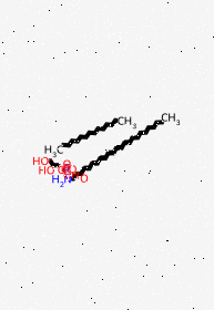 CCCCCCCCCC=CC=CC=CC=CC=CC=CC(=O)C(CN)OP(=O)(O)OCC(O)CO.CCCCCCCCCCCCCCC